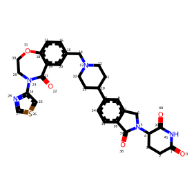 O=C1CCC(N2Cc3cc(C4CCN(Cc5ccc6c(c5)C(=O)N(c5cscn5)CCO6)CC4)ccc3C2=O)C(=O)N1